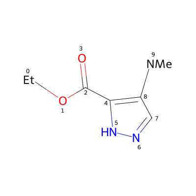 CCOC(=O)c1[nH]ncc1NC